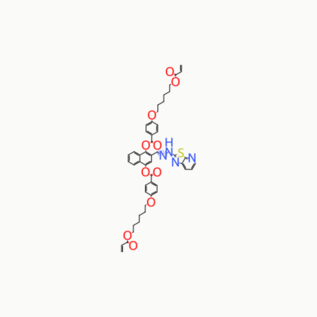 C=CC(=O)OCCCCCCOc1ccc(C(=O)Oc2cc(/C=N/Nc3nc4cccnc4s3)c(OC(=O)c3ccc(OCCCCCCOC(=O)C=C)cc3)c3ccccc23)cc1